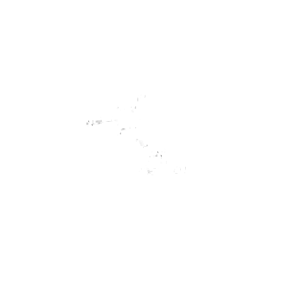 Cc1nc(C#Cc2cc(F)cc(C#N)c2)cs1